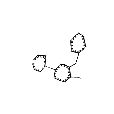 Cc1ccc(-c2ccncc2)cc1Cc1ccccc1